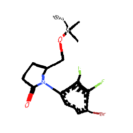 CC(C)(C)[Si](C)(C)OCC1CCC(=O)N1c1ccc(Br)c(F)c1F